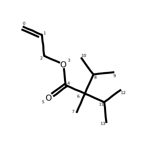 C=CCOC(=O)C(C)(C(C)C)C(C)C